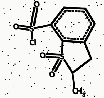 CC1Cc2cccc(S(=O)(=O)Cl)c2S1(=O)=O